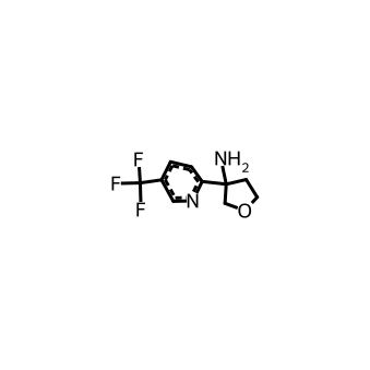 NC1(c2ccc(C(F)(F)F)cn2)CCOC1